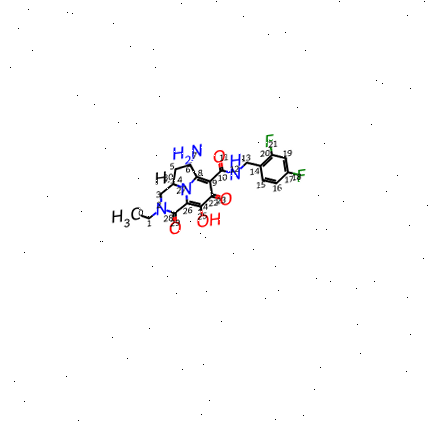 CCN1C[C@H]2C[C@H](N)c3c(C(=O)NCc4ccc(F)cc4F)c(=O)c(O)c(n32)C1=O